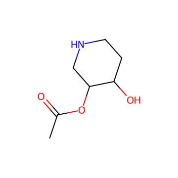 CC(=O)OC1CNCCC1O